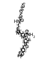 CCOCCOCCOCC(=O)NCCCCn1cnc(-c2cnc(O[C@@H]3CCN(C(=O)Cc4ccc(OC(F)(F)F)cc4)C[C@H]3F)c(C(N)=O)c2)c1